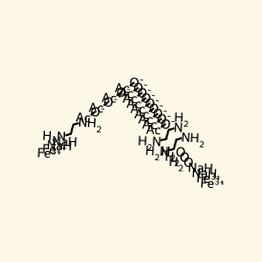 CC(=O)[O-].CC(=O)[O-].CC(=O)[O-].CC(=O)[O-].CC(=O)[O-].CC(=O)[O-].CC(=O)[O-].CC(=O)[O-].CC(=O)[O-].CC(=O)[O-].CC(=O)[O-].CC(=O)[O-].NCCN.NCCN.NCCN.O.O.O.[Fe+3].[Fe+3].[Fe+3].[Fe+3].[NaH].[NaH].[NaH].[NaH]